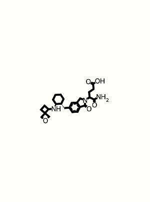 NC(=O)C(CCC(=O)O)N1Cc2cc(C[C@H]3CCCC[C@@H]3NC3CCC34COC4)ccc2C1=O